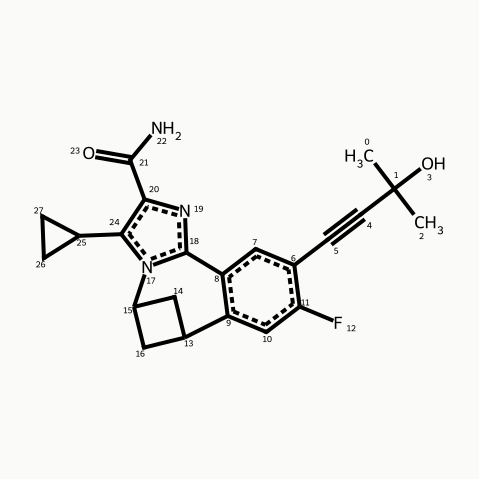 CC(C)(O)C#Cc1cc2c(cc1F)C1CC(C1)n1c-2nc(C(N)=O)c1C1CC1